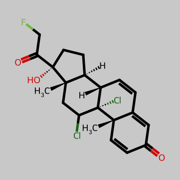 C[C@]12C=CC(=O)C=C1C=C[C@H]1[C@@H]3CC[C@](O)(C(=O)CF)[C@@]3(C)CC(Cl)[C@@]12Cl